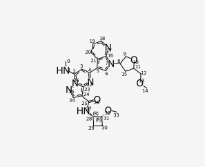 CNc1cc(-c2cn(C3COC(COC)C3)c3ncccc23)nc2c(C(=O)N[C@@H]3CC[C@H]3OC)cnn12